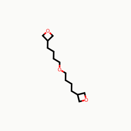 C(CCC1COC1)COCCCCC1COC1